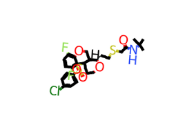 CC(C)(C)NC(=O)CSCC[C@@H]1OCC[C@@]2(S(=O)(=O)c3ccc(Cl)cc3)c3c(F)ccc(F)c3OC[C@@H]12